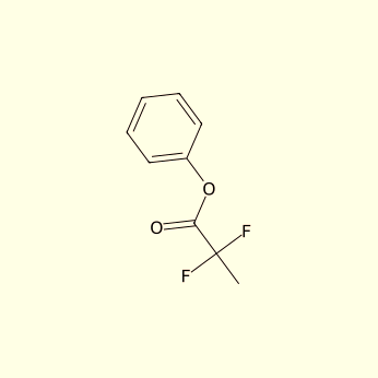 CC(F)(F)C(=O)Oc1ccccc1